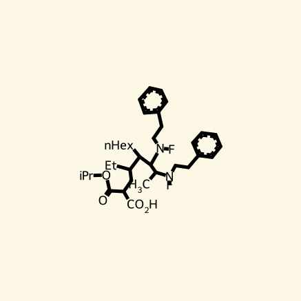 CCCCCCC(C(CC)CC(C(=O)O)C(=O)OC(C)C)C(C(C)N(F)CCc1ccccc1)N(F)CCc1ccccc1